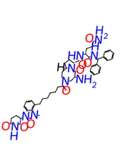 Cn1c(=O)n(C2CCC(=O)NC2=O)c2cccc(CCCCCCC(=O)N3CC[C@H]4CC[C@@H](C(=O)N[C@@H](CCC(N)=O)C(=O)NC(c5ccccc5)c5ccccc5)N4C(=O)[C@@H](N)C3)c21